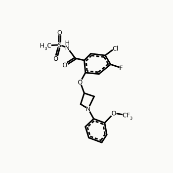 CS(=O)(=O)NC(=O)c1cc(Cl)c(F)cc1OC1CN(c2ccccc2OC(F)(F)F)C1